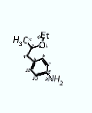 CCOC(C)Cc1ccc(N)cc1